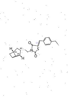 CCc1ccc(/C=C2\SC(=O)N(CC[C@H]3C[C@H]4CC5C4[C@@H]53)C2=O)cc1